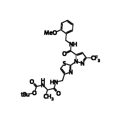 COc1ccccc1CNC(=O)c1cc(C(F)(F)F)nn1-c1nc(CNC(=O)C(C)NC(=O)OC(C)(C)C)cs1